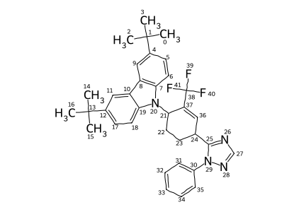 CC(C)(C)c1ccc2c(c1)c1cc(C(C)(C)C)ccc1n2C1CCC(c2ncnn2-c2ccccc2)C=C1C(F)(F)F